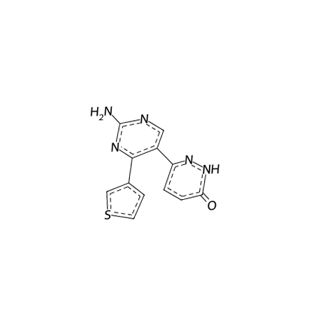 Nc1ncc(-c2ccc(=O)[nH]n2)c(-c2ccsc2)n1